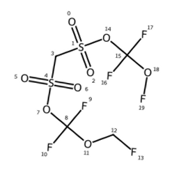 O=S(=O)(CS(=O)(=O)OC(F)(F)OCF)OC(F)(F)OF